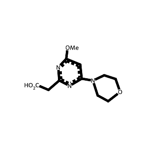 COc1cc(N2CCOCC2)nc(CC(=O)O)n1